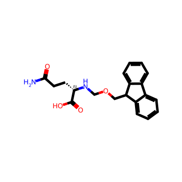 NC(=O)CC[C@H](NCOCC1c2ccccc2-c2ccccc21)C(=O)O